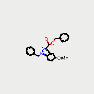 COc1ccc2c(c1)c(C(=O)OCc1ccccc1)nn2Cc1ccccc1